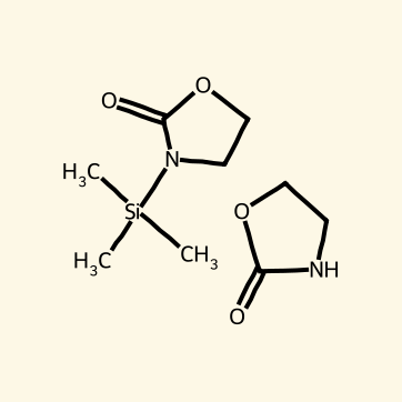 C[Si](C)(C)N1CCOC1=O.O=C1NCCO1